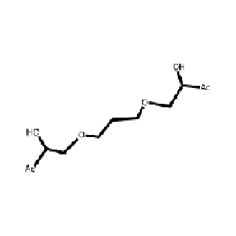 CC(=O)C(O)COCCCOCC(O)C(C)=O